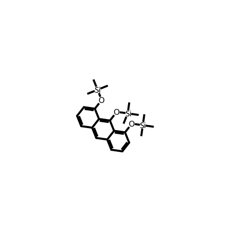 C[Si](C)(C)Oc1cccc2cc3cccc(O[Si](C)(C)C)c3c(O[Si](C)(C)C)c12